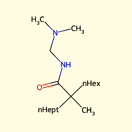 CCCCCCCC(C)(CCCCCC)C(=O)NCN(C)C